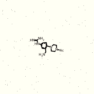 CC(=O)N1CCN(c2ccc(NC(=N)N)cc2CN)CC1